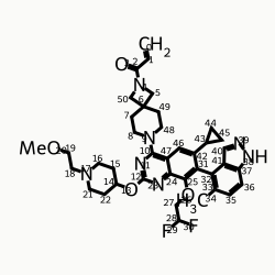 C=CC(=O)N1CC2(CCN(c3nc(OC4CCN(CCOC)CC4)nc4c(OCC(F)F)c(-c5c(C)ccc6[nH]ncc56)c(C5CC5)cc34)CC2)C1